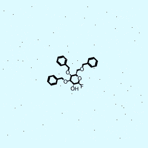 O[C@@H]1[C@@H](OCc2ccccc2)[C@@H](OCc2ccccc2)[C@@H](COCc2ccccc2)O[C@H]1F